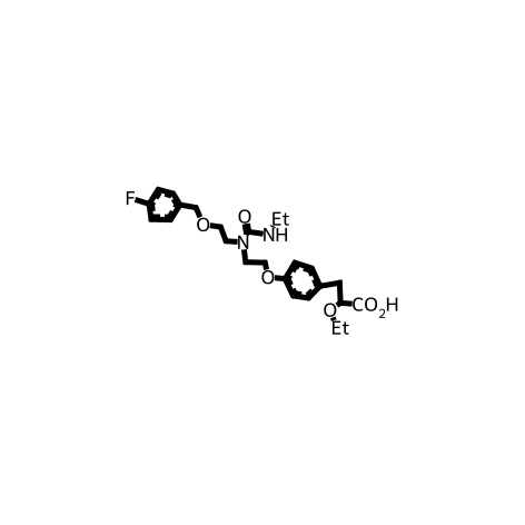 CCNC(=O)N(CCOCc1ccc(F)cc1)CCOc1ccc(CC(OCC)C(=O)O)cc1